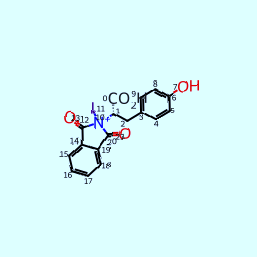 O=C(O)[C@H](Cc1ccc(O)cc1)[N+]1(I)C(=O)c2ccccc2C1=O